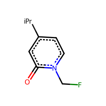 CC(C)c1ccn(CF)c(=O)c1